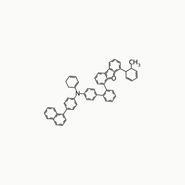 CC1C=CC=CC1c1cccc2c1oc1c(-c3ccccc3-c3ccc(N(C4=CC=CCC4)c4ccc(-c5cccc6ccccc56)cc4)cc3)cccc12